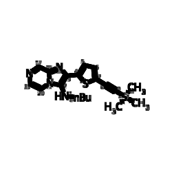 CCCCNc1c(-c2ccc(C#C[Si](C)(C)C)s2)nc2cnccn12